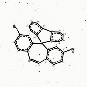 Brc1ccc2c(c1)C1(c3cc(Br)ccc3C=C2)c2ccccc2-c2ccccc21